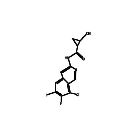 N#CC1CC1C(=O)Nc1cc2cc(I)c(F)c(Cl)c2cn1